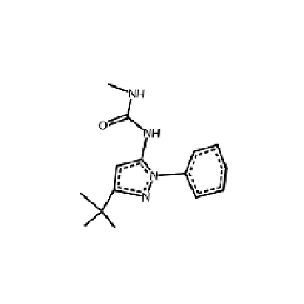 CNC(=O)Nc1cc(C(C)(C)C)nn1-c1ccccc1